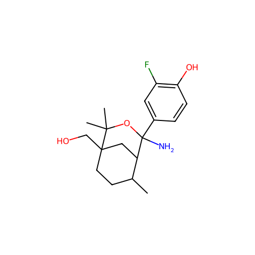 CC1CCC2(CO)CC1C(N)(c1ccc(O)c(F)c1)OC2(C)C